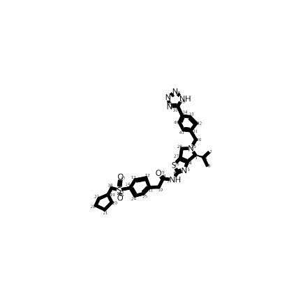 CC(C)[C@H]1c2nc(NC(=O)Cc3ccc(S(=O)(=O)CC4CCCC4)cc3)sc2CN1Cc1ccc(-c2nnn[nH]2)cc1